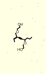 C/C=C(\C#CC(CCC)OCCO)COCCO